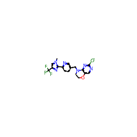 Cn1cc(C(F)(F)F)nc1-c1ccc(CN2CCOc3cnc(Cl)nc32)cn1